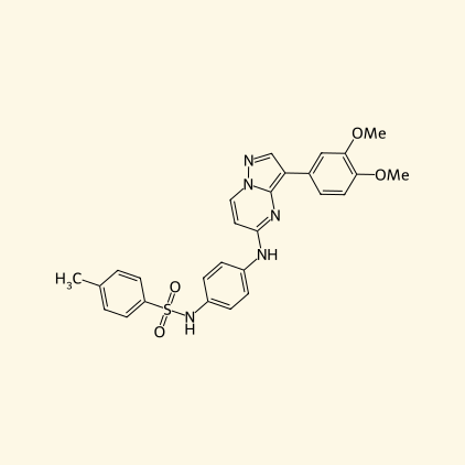 COc1ccc(-c2cnn3ccc(Nc4ccc(NS(=O)(=O)c5ccc(C)cc5)cc4)nc23)cc1OC